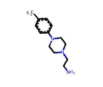 NCCN1CCN(c2ccc(C(F)(F)F)cc2)CC1